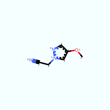 COc1cnn(CC#N)c1